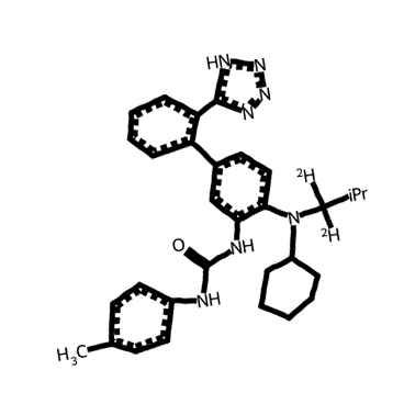 [2H]C([2H])(C(C)C)N(c1ccc(-c2ccccc2-c2nnn[nH]2)cc1NC(=O)Nc1ccc(C)cc1)C1CCCCC1